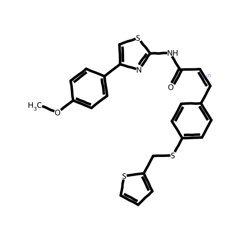 COc1ccc(-c2csc(NC(=O)/C=C\c3ccc(SCc4cccs4)cc3)n2)cc1